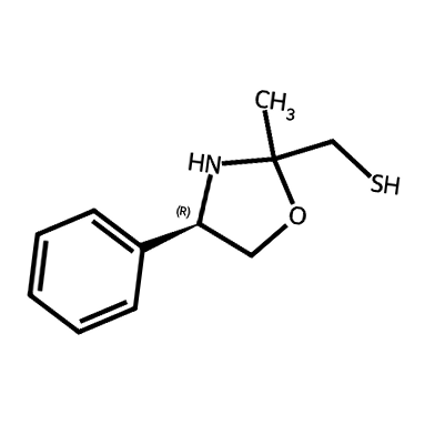 CC1(CS)N[C@H](c2ccccc2)CO1